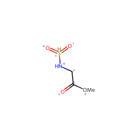 COC(=O)CN[SH](=O)=O